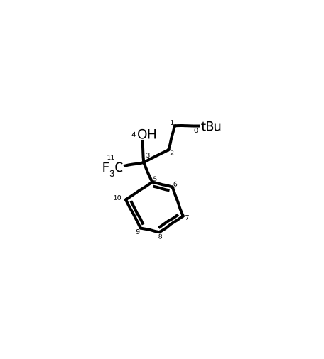 CC(C)(C)CCC(O)(c1ccccc1)C(F)(F)F